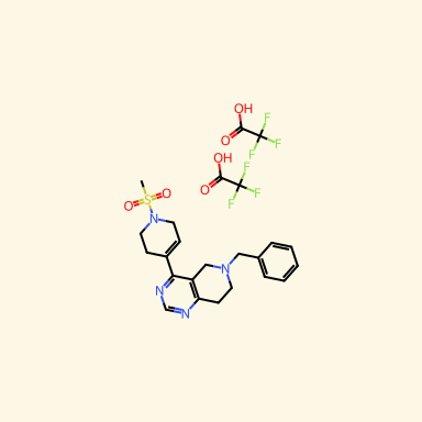 CS(=O)(=O)N1CC=C(c2ncnc3c2CN(Cc2ccccc2)CC3)CC1.O=C(O)C(F)(F)F.O=C(O)C(F)(F)F